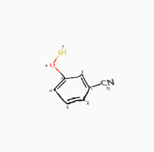 N#Cc1cccc(OS)c1